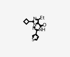 CCc1nc(C2CCC2)n2nc(-c3ccsc3)[nH]c(=O)c12